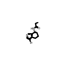 CCC(=O)N[C@H]1CCCc2c(Br)cncc21